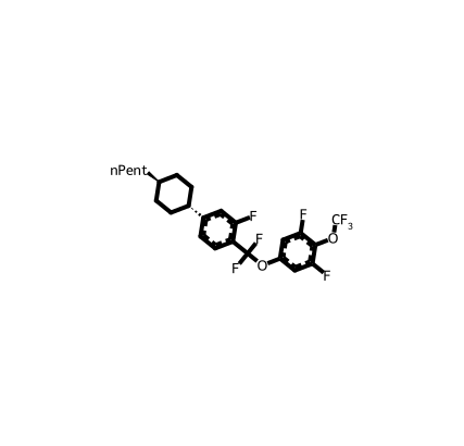 CCCCC[C@H]1CC[C@H](c2ccc(C(F)(F)Oc3cc(F)c(OC(F)(F)F)c(F)c3)c(F)c2)CC1